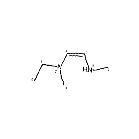 CCN(I)/C=C\NC